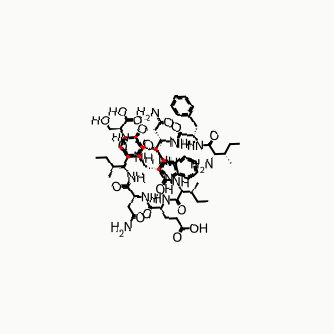 CC[C@H](C)[C@H](N)C(=O)N[C@@H](Cc1ccccc1)C(=O)N[C@@H](CC(N)=O)C(=O)N[C@@H](Cc1ccccc1)C(=O)N[C@H](C(=O)N[C@@H](CCC(=O)O)C(=O)N[C@@H](CC(N)=O)C(=O)N[C@H](C(=O)N[C@@H](Cc1c[nH]c2ccccc12)C(=O)N[C@@H](CO)C(=O)O)[C@@H](C)CC)[C@@H](C)CC